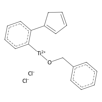 C1=CCC(c2cccc[c]2[Ti+2][O]Cc2ccccc2)=C1.[Cl-].[Cl-]